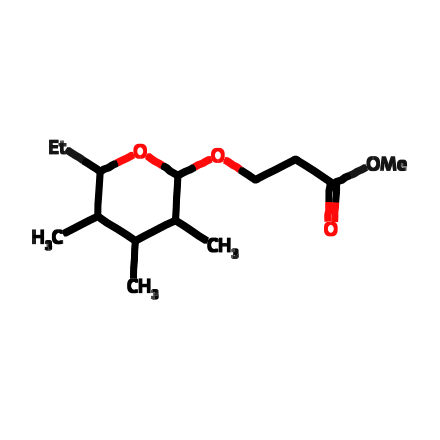 CCC1OC(OCCC(=O)OC)C(C)C(C)C1C